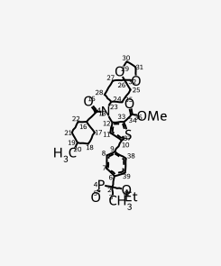 CCOC(C)(P=O)c1ccc(-c2cc(N(C(=O)C3CCC(C)CC3)C3CCC4(CC3)OCCO4)c(C(=O)OC)s2)cc1